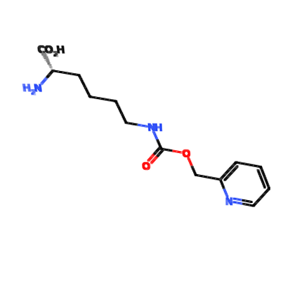 N[C@@H](CCCCNC(=O)OCc1ccccn1)C(=O)O